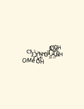 COc1cc(Cl)cc2c1C(O)CN(COc1cc(Cl)c3c(c1)CNCC3O)C2